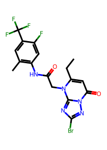 CCc1cc(=O)n2nc(Br)nc2n1CC(=O)Nc1cc(F)c(C(F)(F)F)cc1C